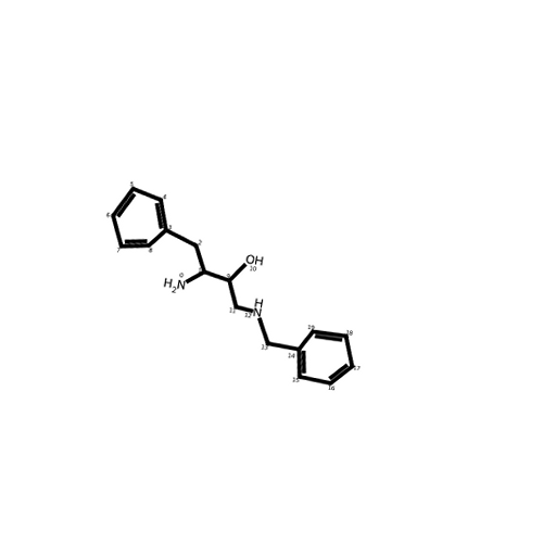 NC(Cc1ccccc1)C(O)CNCc1ccccc1